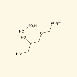 CCCCCCCCOCC(O)CO.O=S(=O)(O)O